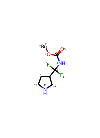 CC(C)(C)OC(=O)NC(F)(F)C1CCNC1